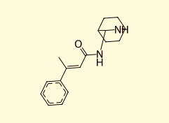 C/C(=C\C(=O)NC1NC2CCC1CC2)c1ccccc1